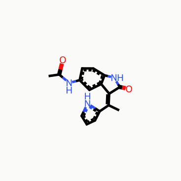 CC(=O)Nc1ccc2c(c1)C(=C(C)c1ccc[nH]1)C(=O)N2